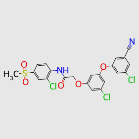 CS(=O)(=O)c1ccc(NC(=O)COc2cc(Cl)cc(Oc3cc(Cl)cc(C#N)c3)c2)c(Cl)c1